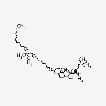 CCCCC/C=C\CCCOC[C@H](COCCCCCCCO[C@H]1CC[C@@]2(C)C(=CCC3C2CC[C@@]2(C)C3CC[C@@H]2[C@H](C)CCCC(C)C)C1)N(C)C